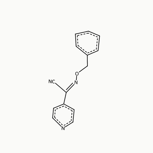 N#C/C(=N\OCc1ccccc1)c1ccncc1